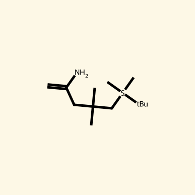 C=C(N)CC(C)(C)CS(C)(C)C(C)(C)C